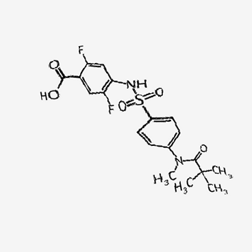 CN(C(=O)C(C)(C)C)c1ccc(S(=O)(=O)Nc2cc(F)c(C(=O)O)cc2F)cc1